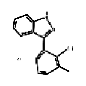 Cc1cccc(-c2n[nH]c3ccccc23)c1S.[Zn]